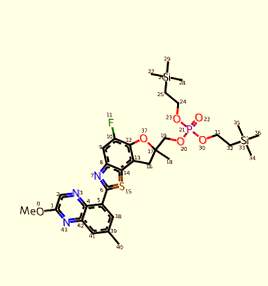 COc1cnc2c(-c3nc4cc(F)c5c(c4s3)CC(C)(COP(=O)(OCC[Si](C)(C)C)OCC[Si](C)(C)C)O5)cc(C)cc2n1